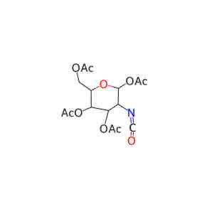 CC(=O)OCC1OC(OC(C)=O)C(N=C=O)C(OC(C)=O)C1OC(C)=O